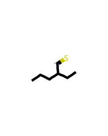 CCCC([C]=S)CC